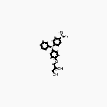 CCN(CC)c1ccc(N(c2ccccc2)c2ccc(OCC(O)CO)cc2)cc1